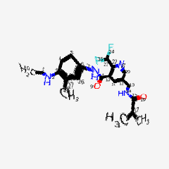 C=CNc1ccc(NC(=O)c2cc(CNC(=O)C(C)C)cnc2C(F)F)cc1C